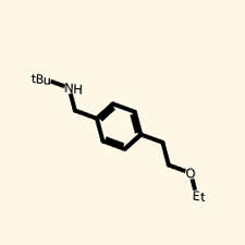 CCOCCc1ccc(CNC(C)(C)C)cc1